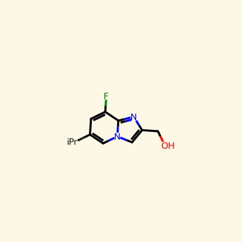 CC(C)c1cc(F)c2nc(CO)cn2c1